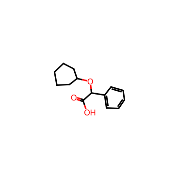 O=C(O)C(OC1CCCCC1)c1ccccc1